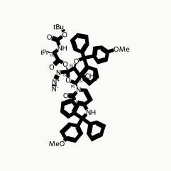 COc1ccc(C(Nc2ccn([C@@H]3O[C@](N=[N+]=[N-])(OC(=O)[C@@H](NC(=O)OC(C)(C)C)C(C)C)[C@@H](OC(c4ccccc4)(c4ccccc4)c4ccc(OC)cc4)[C@@H]3C)c(=O)n2)(c2ccccc2)c2ccccc2)cc1